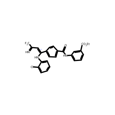 CCOC(=O)c1cccc(NC(=O)c2ccc(/C(=C/C(=N)C(F)(F)F)Nc3ccccc3Cl)cc2)c1